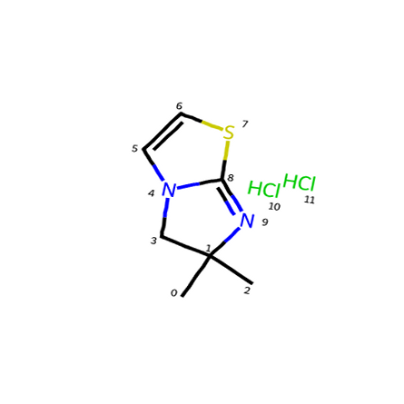 CC1(C)CN2C=CSC2=N1.Cl.Cl